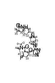 CC(C)N(C(=O)c1cc(F)ccc1Oc1cncnc1N1CC2(CCN(CC3CCC4(CC3)CC3(CC3)C(=O)N4)CC2)C1)C(C)C